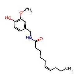 CCC/C=C\CCCCC(=O)NCc1ccc(O)c(OC)c1